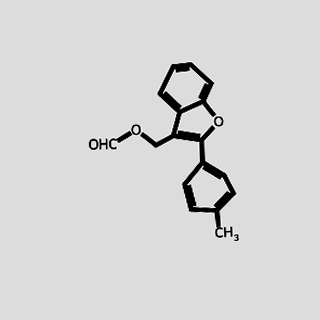 Cc1ccc(-c2oc3ccccc3c2COC=O)cc1